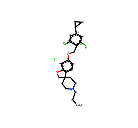 Cl.O=C(O)CCN1CCC2(CC1)COc1cc(OCc3c(Cl)cc(C4CC4)cc3Cl)ccc12